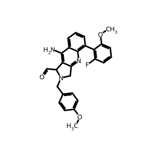 COc1ccc(CN2Cc3nc4c(-c5c(F)cccc5OC)cccc4c(N)c3C2C=O)cc1